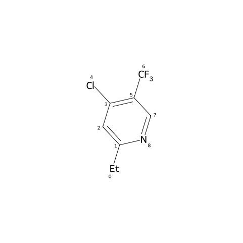 CCc1cc(Cl)c(C(F)(F)F)cn1